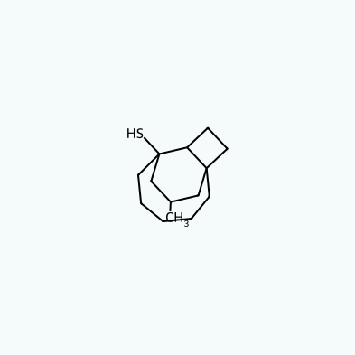 CC1CC2(S)CCCCCC3(CCC23)C1